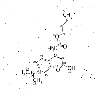 CCCCOC(=O)N[C@@H](CC(=O)O)c1ccc(N(C)C)cc1